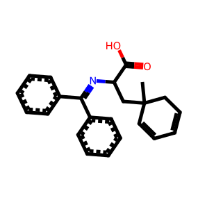 CC1(CC(N=C(c2ccccc2)c2ccccc2)C(=O)O)C=CC=CC1